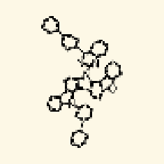 c1ccc(-c2ccc(-c3nc(-n4c5ccc6c7ccccc7n(-c7cccc(-c8ccccc8)c7)c6c5c5ccc6oc7ccccc7c6c54)nc4ccccc34)cc2)cc1